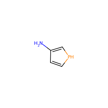 Nc1cc[pH]c1